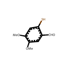 COc1cc(S)c(C=O)cc1OC